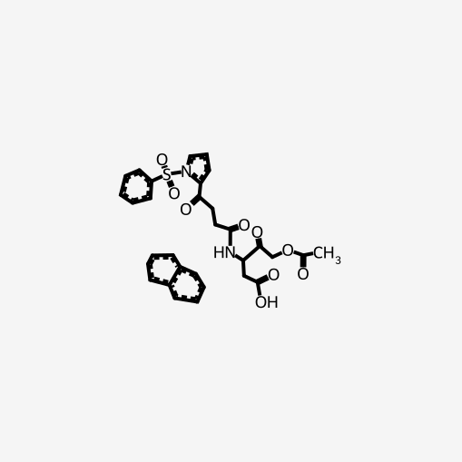 CC(=O)OCC(=O)C(CC(=O)O)NC(=O)CCC(=O)c1cccn1S(=O)(=O)c1ccccc1.c1ccc2ccccc2c1